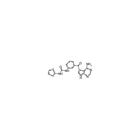 Nc1ncnc2[nH]cc(C(=O)c3cccc(NC(=O)Nc4cccs4)c3)c12